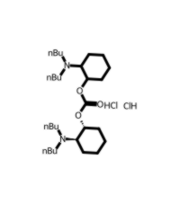 CCCCN(CCCC)C1CCCCC1OC(=O)O[C@@H]1CCCC[C@H]1N(CCCC)CCCC.Cl.Cl